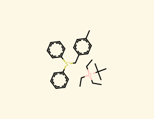 CC[B-](CC)(CC)C(C)(C)C.Cc1ccc(C[S+](c2ccccc2)c2ccccc2)cc1